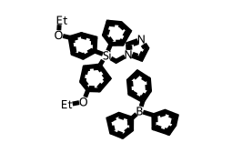 CCOc1ccc([Si](Cn2ccnc2)(c2ccccc2)c2ccc(OCC)cc2)cc1.c1ccc(B(c2ccccc2)c2ccccc2)cc1